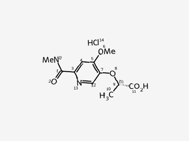 CNC(=O)c1cc(OC)c(O[C@@H](C)C(=O)O)cn1.Cl